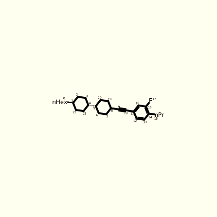 CCCCCC[C@H]1CC[C@H](C2CCC(C#Cc3ccc(CCC)c(F)c3)CC2)CC1